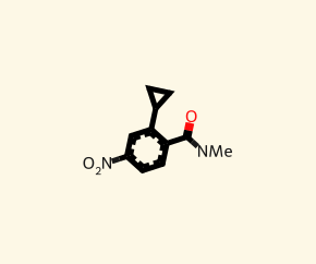 CNC(=O)c1ccc([N+](=O)[O-])cc1C1CC1